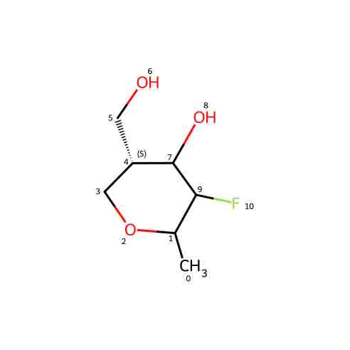 CC1OC[C@H](CO)C(O)C1F